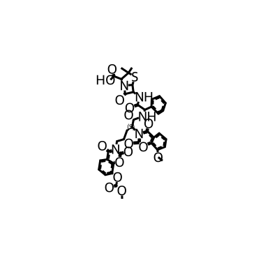 COC(=O)Oc1cccc2c(=O)n(CCC[C@@H](C(=O)NC(C(=O)NC3C(=O)N4C3SC(C)(C)C4C(=O)O)c3ccccc3)n3c(=O)oc4c(OC)cccc4c3=O)c(=O)oc12